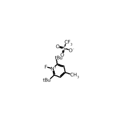 Cc1cc(C(C)(C)C)[n+](F)c(C(C)(C)C)c1.O=S(=O)([O-])C(F)(F)F